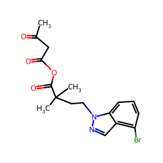 CC(=O)CC(=O)OC(=O)C(C)(C)CCn1ncc2c(Br)cccc21